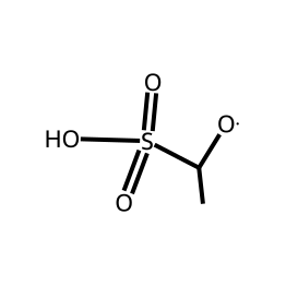 CC([O])S(=O)(=O)O